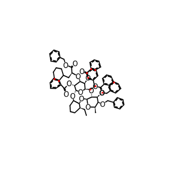 CC[C@H]1CCC[C@@H](O[C@H]2O[C@H](COC(=O)c3ccccc3)[C@H](OC(=O)c3ccccc3)[C@H](O[C@@H](CC3CCCCC3)C(=O)OCc3ccccc3)[C@H]2OC(=O)c2ccccc2)[C@H]1O[C@@H]1O[C@H](C)[C@H](OCc2ccccc2)[C@H](OCc2ccccc2)[C@H]1OCc1ccccc1